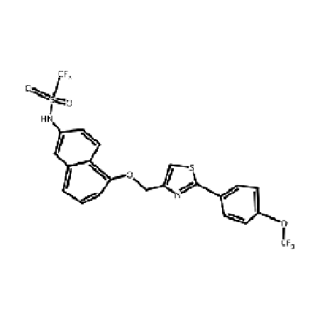 O=S(=O)(Nc1ccc2c(OCc3csc(-c4ccc(OC(F)(F)F)cc4)n3)cccc2c1)C(F)(F)F